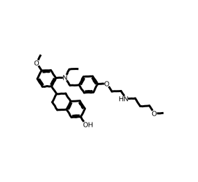 CCN(Cc1ccc(OCCNCCCOC)cc1)c1cc(OC)ccc1C1CCc2cc(O)ccc2C1